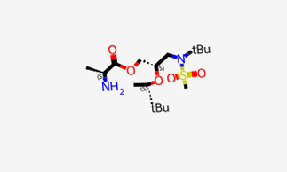 C[C@H](N)C(=O)OC[C@H](CN(C(C)(C)C)S(C)(=O)=O)O[C@@H](C)C(C)(C)C